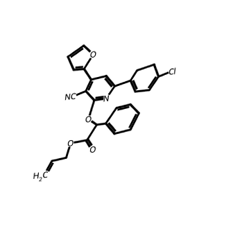 C=CCOC(=O)C(Oc1nc(C2=CC=C(Cl)CC2)cc(-c2ccco2)c1C#N)c1ccccc1